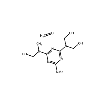 C=O.CNc1nc(N(C)CO)nc(N(CO)CO)n1